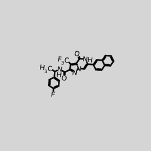 CC(NC(=O)c1nn2cc(-c3ccc4ccccc4c3)[nH]c(=O)c2c1C(F)(F)F)c1ccc(F)cc1